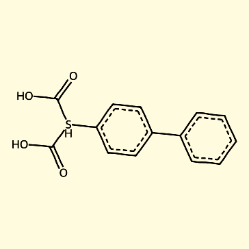 O=C(O)[SH](C(=O)O)c1ccc(-c2ccccc2)cc1